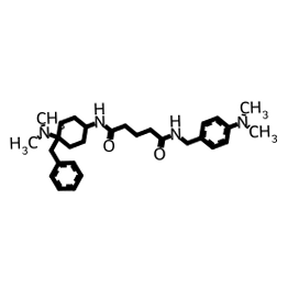 CN(C)c1ccc(CNC(=O)CCCC(=O)NC2CCC(Cc3ccccc3)(N(C)C)CC2)cc1